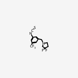 FC1(F)CCN(Cc2cc(N=C=S)cc(C(F)(F)F)c2)C1